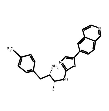 C[C@@H](Nc1ncc(-c2ccc3cnccc3c2)s1)[C@@H](N)Cc1ccc(C(F)(F)F)cc1